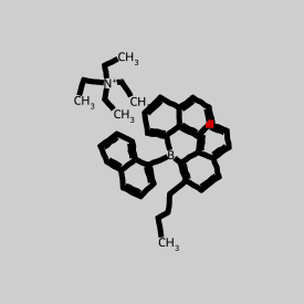 CCCCc1ccc2ccccc2c1B(c1cccc2ccccc12)c1cccc2ccccc12.CC[N+](CC)(CC)CC